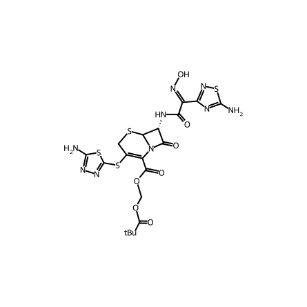 CC(C)(C)C(=O)OCOC(=O)C1=C(Sc2nnc(N)s2)CSC2[C@H](NC(=O)C(=NO)c3nsc(N)n3)C(=O)N12